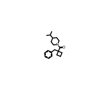 CC(C)C1CCN(C(=O)C2(Cc3ccccc3)CCC2)CC1